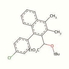 CCOC(=O)C(OC(C)(C)C)c1c(C)c(C)c2ccccc2c1-c1ccc(Cl)cc1